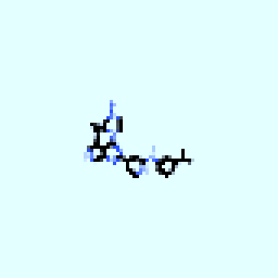 CC(C)c1cccc(Nc2cc(-c3nc(N4CCNCC4)c4c(C5CC5)cncc4n3)ccn2)c1